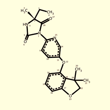 CC[C@@]1(C)NC(=O)N(c2ccc(Oc3cccc4c3C(C)(C)CO4)cn2)C1=O